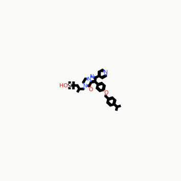 CC(CN1CCn2nc(-c3ccncc3)c(-c3ccc(OCc4ccc(C(C)C)cc4)cc3)c2C1=O)CC(C)(C)[Si](C)(C)O